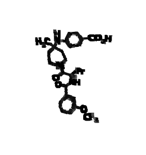 CC(C)[C@@H](NC(=O)c1cccc(OC(F)(F)F)c1)C(=O)N1CCC(C)(Nc2ccc(C(=O)O)cc2)CC1